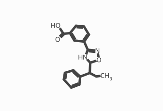 CCC(c1ccccc1)C1NC(c2cccc(C(=O)O)c2)=NO1